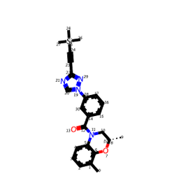 Cc1cccc2c1O[C@@H](C)CN2C(=O)c1cccc(-n2cnc(C#C[Si](C)(C)C)n2)c1